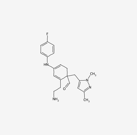 Cc1cc(CC2(C=O)CC=C(Nc3ccc(F)cc3)C=C2CCN)n(C)n1